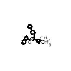 Cc1ccc(C2CN(C(=O)c3cccc4ccccc34)CC2CN2CCC(c3ccccc3)CC2)cc1C